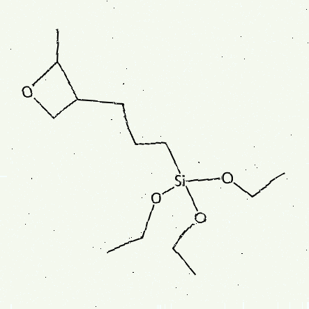 CCO[Si](CCCC1COC1C)(OCC)OCC